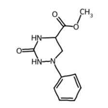 COC(=O)C1CN(c2ccccc2)NC(=O)N1